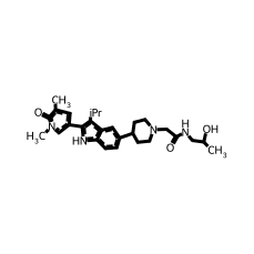 Cc1cc(-c2[nH]c3ccc(C4CCN(CC(=O)NCC(C)O)CC4)cc3c2C(C)C)cn(C)c1=O